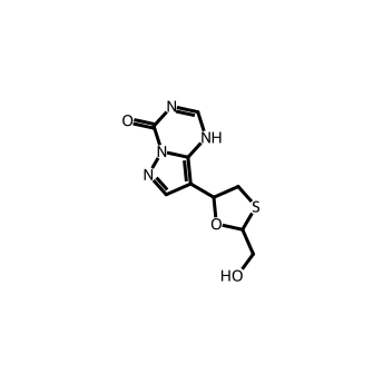 O=c1nc[nH]c2c(C3CSC(CO)O3)cnn12